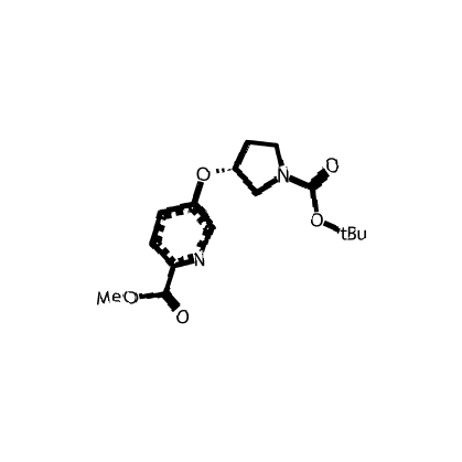 COC(=O)c1ccc(O[C@@H]2CCN(C(=O)OC(C)(C)C)C2)cn1